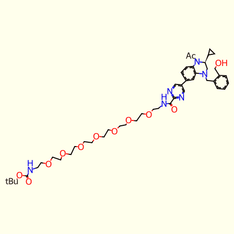 CC(=O)N1c2ccc(-c3cnc(C(=O)NCCOCCOCCOCCOCCOCCOCCOCCNC(=O)OC(C)(C)C)nc3)cc2N(Cc2ccccc2CO)C[C@@H]1C1CC1